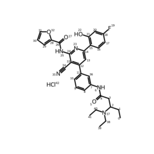 CCC(CC(=O)Nc1cccc(-c2cc(-c3ccc(F)cc3O)nc(NC(=O)c3ccco3)c2C#N)c1)N(CC)CC.Cl